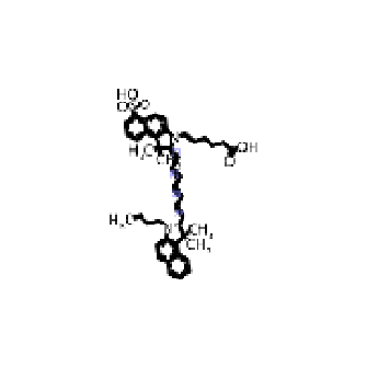 CCCC[N+]1=C(/C=C/C=C/C=C/C=C2/N(CCCCCC(=O)O)c3ccc4c(S(=O)(=O)O)cccc4c3C2(C)C)C(C)(C)c2c1ccc1ccccc21